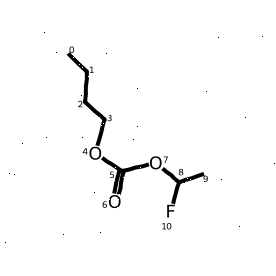 CCCCOC(=O)OC(C)F